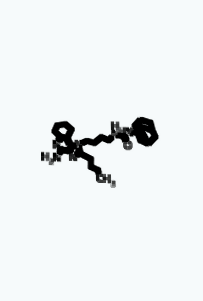 CCCCc1nc2c(N)nc3c(c2n1CCCCNC(=O)NC12CC4CC(CC(C4)C1)C2)CCCC3